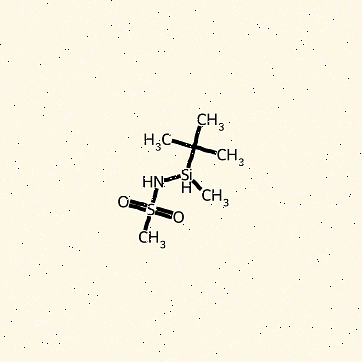 C[SiH](NS(C)(=O)=O)C(C)(C)C